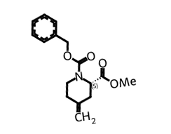 C=C1CCN(C(=O)OCc2ccccc2)[C@H](C(=O)OC)C1